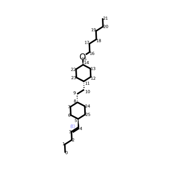 CCC/C=C/[C@H]1CC[C@H](CC[C@H]2CC[C@H](OCCCCCC)CC2)CC1